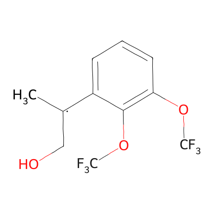 C[C](CO)c1cccc(OC(F)(F)F)c1OC(F)(F)F